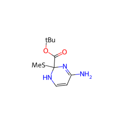 CSC1(C(=O)OC(C)(C)C)N=C(N)C=CN1